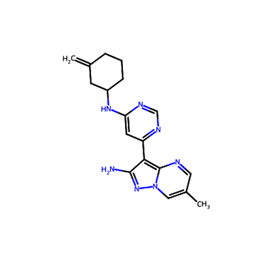 C=C1CCCC(Nc2cc(-c3c(N)nn4cc(C)cnc34)ncn2)C1